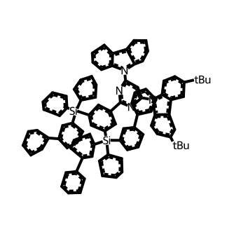 CC(C)(C)c1ccc2c(c1)c1cc(C(C)(C)C)ccc1n2-c1cc(-n2c3ccccc3c3ccccc32)nc(-c2cc([Si](c3ccccc3)(c3ccccc3)c3cccc(-c4ccccc4)c3)cc([Si](c3ccccc3)(c3cccc(-c4ccccc4)c3)c3cccc(-c4ccccc4)c3)c2)n1